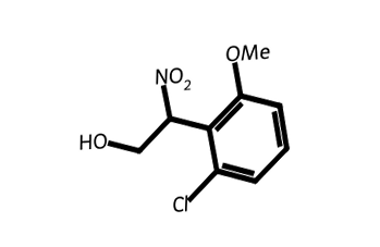 COc1cccc(Cl)c1C(CO)[N+](=O)[O-]